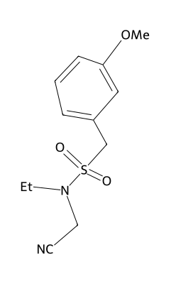 CCN(CC#N)S(=O)(=O)Cc1cccc(OC)c1